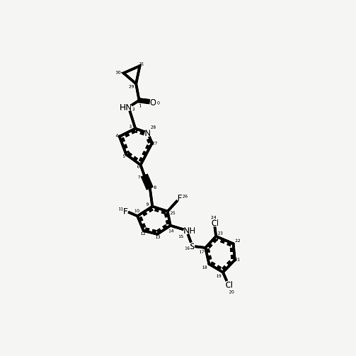 O=C(Nc1ccc(C#Cc2c(F)ccc(NSc3cc(Cl)ccc3Cl)c2F)cn1)C1CC1